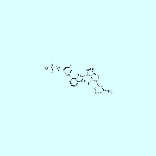 CS(=O)(=O)NCc1cc(F)cc(-c2nccc3[nH]c(-c4n[nH]c5ccc(-c6cncc(N)c6)c(F)c45)nc23)c1